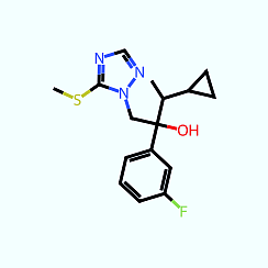 CSc1ncnn1CC(O)(c1cccc(F)c1)C(C)C1CC1